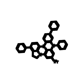 CC(C)c1cc2c3c(c1)N(c1ccccc1)c1cc(-c4ccccc4)ccc1B3c1ccc(-c3ccccc3)c3c1N2CC3